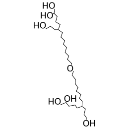 OCCCC(CCCCCCCCCOCCCCCCCCCC(CCCO)CCCC(O)CO)CCCC(O)CO